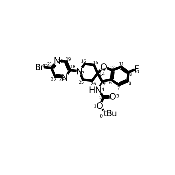 CC(C)(C)OC(=O)N[C@@H]1c2ccc(F)cc2OC12CCN(c1cnc(Br)cn1)CC2